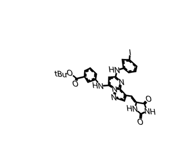 CC(C)(C)OC(=O)c1cccc(Nc2cc(Nc3cccc(I)c3)nc3c(/C=C4\NC(=O)NC4=O)cnn23)c1